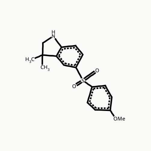 COc1ccc(S(=O)(=O)c2ccc3c(c2)C(C)(C)CN3)cc1